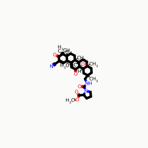 COC(=O)C1CCCN1C(=O)NC[C@@]1(C)CC[C@]2(C)CC[C@@]3(C)[C@]4(C)CC[C@H]5C(C)(C)C(=O)C(C#N)=C[C@]5(C)C4=CC(=O)[C@]3(O)[C@@H]2C1